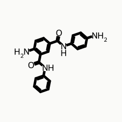 Nc1ccc(NC(=O)c2ccc(N)c(C(=O)Nc3ccccc3)c2)cc1